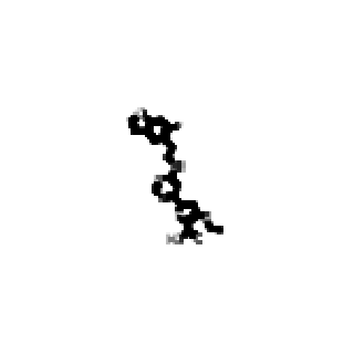 CCOc1cc(-c2cc(NCCc3cc4ccoc4cc3F)ncn2)sc1C(=O)O